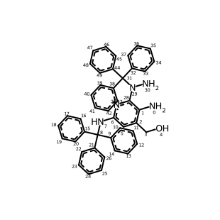 Nc1c(CO)cc(NC(c2ccccc2)(c2ccccc2)c2ccccc2)nc1N(N)C(c1ccccc1)(c1ccccc1)c1ccccc1